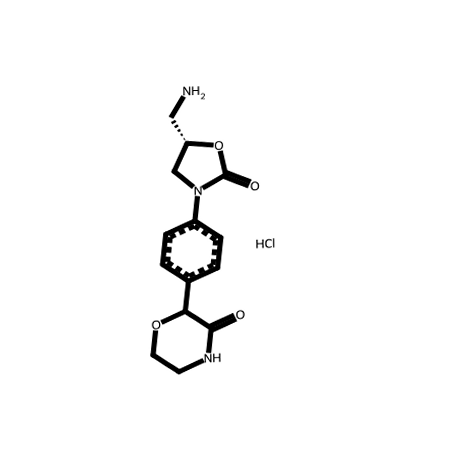 Cl.NC[C@H]1CN(c2ccc(C3OCCNC3=O)cc2)C(=O)O1